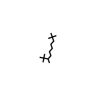 CC(CCCCCC(C)(C)C)C(C)(C)C